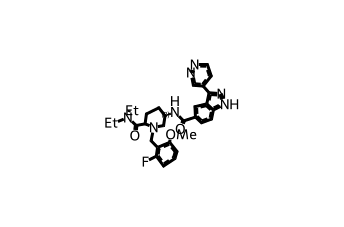 CCN(CC)C(=O)C1CC[C@@H](NC(=O)c2ccc3[nH]nc(-c4ccnnc4)c3c2)CN1Cc1c(F)cccc1OC